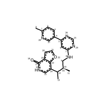 Cc1ccc(-c2cc(NC[C@@H](C)C(C)c3c[nH]c(=O)c4ccoc34)ncn2)cn1